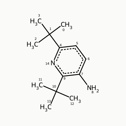 CC(C)(C)c1ccc(N)c(C(C)(C)C)n1